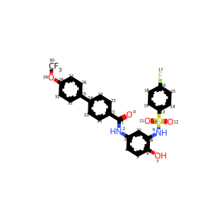 O=C(Nc1ccc(O)c(NS(=O)(=O)c2ccc(F)cc2)c1)c1ccc(-c2ccc(OC(F)(F)F)cc2)cc1